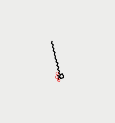 CCCCCCCCCCCCCCCCCCC1CCCCC12C(=O)OC2=O